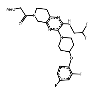 COCC(=O)N1CCc2nc(NCC(F)F)c(N3CCC(Oc4ccc(F)cc4F)CC3)nc2C1